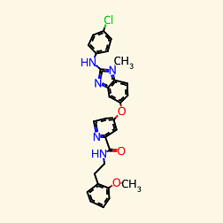 COc1ccccc1CCNC(=O)c1cc(Oc2ccc3c(c2)nc(Nc2ccc(Cl)cc2)n3C)ccn1